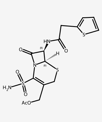 CC(=O)OCC1=C(S(N)(=O)=O)N2C(=O)[C@@H](NC(=O)Cc3cccs3)[C@H]2SC1